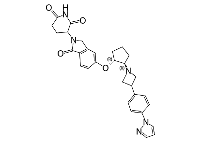 O=C1CCC(N2Cc3cc(O[C@@H]4CCC[C@H]4N4CC(c5ccc(-n6cccn6)cc5)C4)ccc3C2=O)C(=O)N1